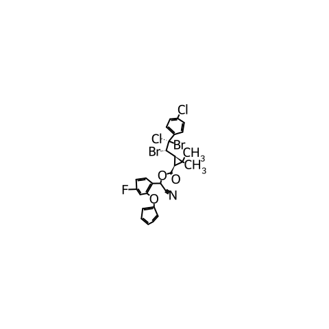 CC1(C)[C@H]([C@H](Br)[C@](Cl)(Br)c2ccc(Cl)cc2)[C@@H]1C(=O)OC(C#N)c1ccc(F)cc1Oc1ccccc1